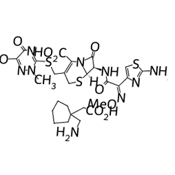 CO/N=C(\C(=O)N[C@@H]1C(=O)N2C(C(=O)O)=C(CSc3nc(=O)c(O)nn3C)CS[C@H]12)c1csc(N)n1.NCC1(CC(=O)O)CCCCC1